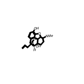 C=CCN1CC[C@]23c4c5ccc(O)c4OC2C(NC)CC[C@@]3(O)[C@H]1C5